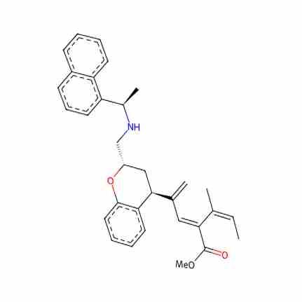 C=C(/C=C(C(=O)OC)\C(C)=C/C)[C@@H]1C[C@@H](CN[C@H](C)c2cccc3ccccc23)Oc2ccccc21